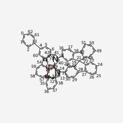 c1ccc(-c2ccc(N(c3ccccc3)c3ccc4c(c3)C3(c5ccccc5-c5ccc(N(c6ccccc6)c6ccccc6)cc53)c3ccccc3-4)c(-c3ccccc3)c2)cc1